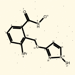 CCCc1cccc(C(=O)NCl)c1COc1ccn(S)n1